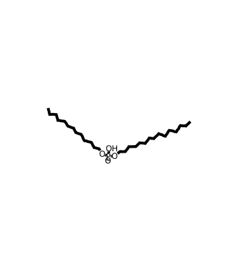 CCCCCCCCCCCCCCCOP(=O)(O)OCCCCCCCCCCCCC